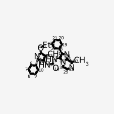 CCOc1nn(-c2ccccc2)c(NC(=O)Nc2c(-c3ccccc3)nc3c(C)nccn23)c1C